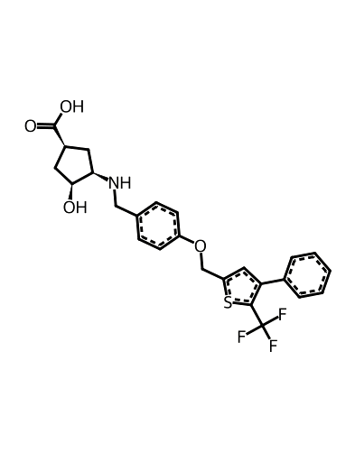 O=C(O)[C@@H]1C[C@H](O)[C@H](NCc2ccc(OCc3cc(-c4ccccc4)c(C(F)(F)F)s3)cc2)C1